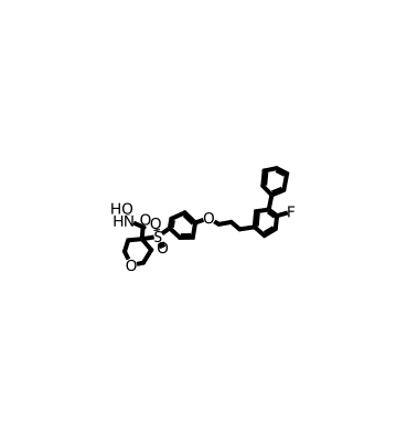 O=C(NO)C1(S(=O)(=O)c2ccc(OCCCc3ccc(F)c(-c4ccccc4)c3)cc2)CCOCC1